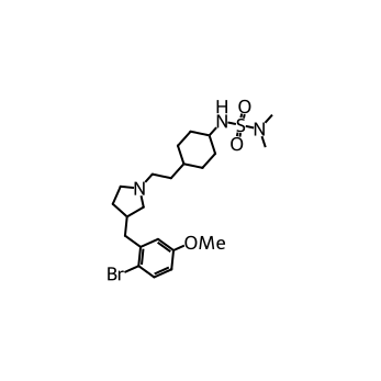 COc1ccc(Br)c(CC2CCN(CCC3CCC(NS(=O)(=O)N(C)C)CC3)C2)c1